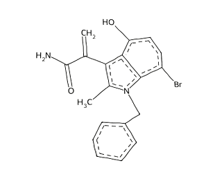 C=C(C(N)=O)c1c(C)n(Cc2ccccc2)c2c(Br)ccc(O)c12